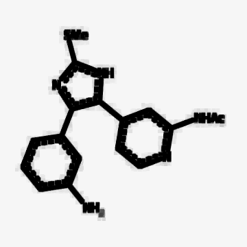 CSc1nc(-c2cccc(N)c2)c(-c2ccnc(NC(C)=O)c2)[nH]1